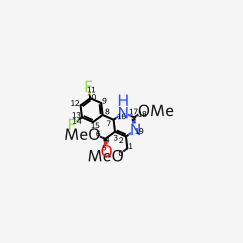 COCC1=C(C(=O)OC)C(c2cc(F)cc(F)c2)NC(OC)=N1